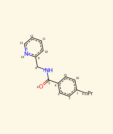 CCCc1ccc(C(=O)NCc2ccccn2)cc1